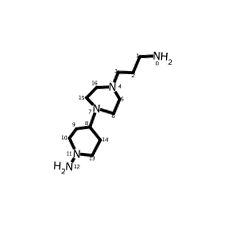 NCCCN1CCN(C2CCN(N)CC2)CC1